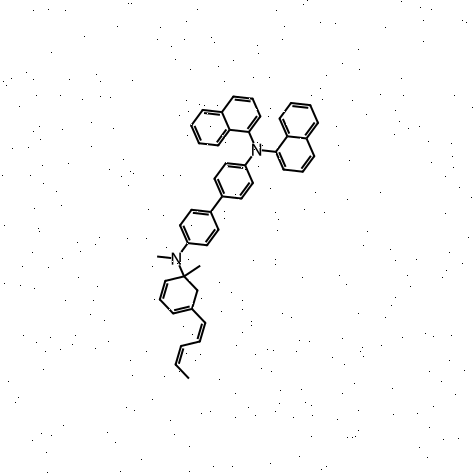 C/C=C\C=C/C1=CC=CC(C)(N(C)c2ccc(-c3ccc(N(c4cccc5ccccc45)c4cccc5ccccc45)cc3)cc2)C1